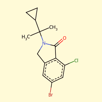 CC(C)(C1CC1)N1Cc2cc(Br)cc(Cl)c2C1=O